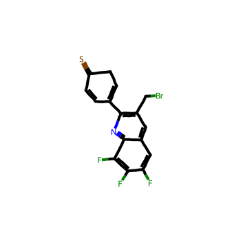 Fc1cc2cc(CBr)c(C3=CCC(=S)C=C3)nc2c(F)c1F